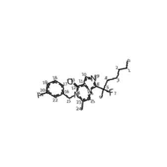 CCCCCC(C)(F)c1ncc2c(=O)n(Cc3cccc(F)c3)c(C)cn12